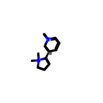 C[N+]1=CC=C[C@H](C2CCC[N+]2(C)C)C1